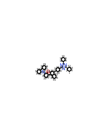 c1ccc(-c2nc(-c3ccccc3)nc(-c3ccc(-c4cc5oc6c(-n7c8ccccc8c8ccccc87)cccc6c5c5ccccc45)cc3)n2)cc1